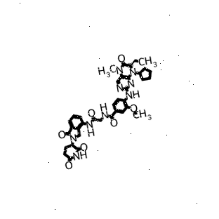 CC[C@@H]1C(=O)N(C)c2cnc(Nc3ccc(C(=O)NCC(=O)Nc4cccc5c4CN(C4CCC(=O)NC4=O)C5=O)cc3OC)nc2N1C1CCCC1